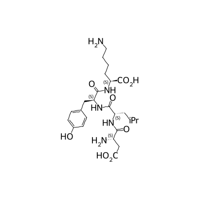 CC(C)C[C@H](NC(=O)[C@@H](N)CC(=O)O)C(=O)N[C@@H](Cc1ccc(O)cc1)C(=O)N[C@@H](CCCCN)C(=O)O